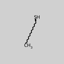 CCCCCCCCCCCCCCCC#CS